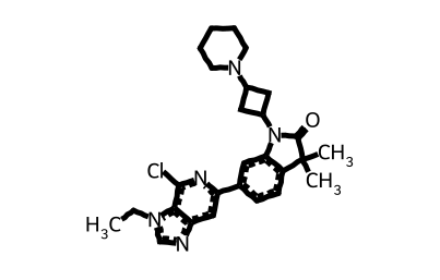 CCn1cnc2cc(-c3ccc4c(c3)N(C3CC(N5CCCCC5)C3)C(=O)C4(C)C)nc(Cl)c21